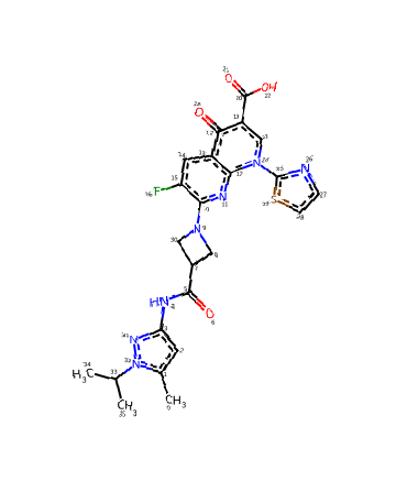 Cc1cc(NC(=O)C2CN(c3nc4c(cc3F)c(=O)c(C(=O)O)cn4-c3nccs3)C2)nn1C(C)C